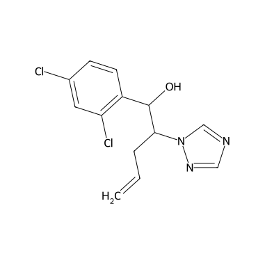 C=CCC(C(O)c1ccc(Cl)cc1Cl)n1cncn1